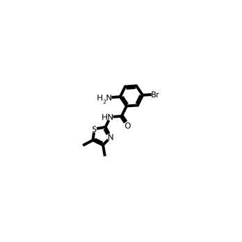 Cc1nc(NC(=O)c2cc(Br)ccc2N)sc1C